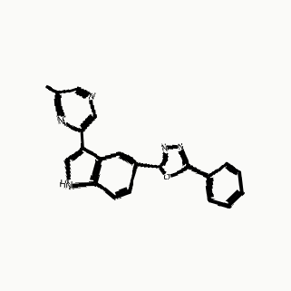 Cc1cncc(-c2c[nH]c3ccc(-c4nnc(-c5ccccc5)o4)cc23)n1